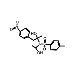 Cc1ccc(S(=O)(=O)N(C(C)O)C(C)(O)Cc2ccc([N+](=O)[O-])cc2)cc1